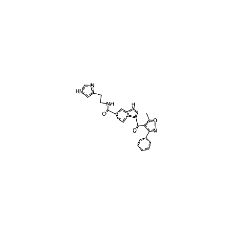 Cc1onc(-c2ccccc2)c1C(=O)c1c[nH]c2cc(C(=O)NCCc3c[nH]cn3)ccc12